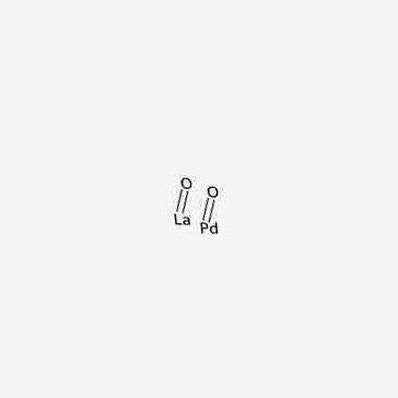 [O]=[La].[O]=[Pd]